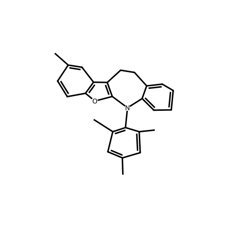 Cc1cc(C)c(N2c3ccccc3CCc3c2oc2ccc(C)cc32)c(C)c1